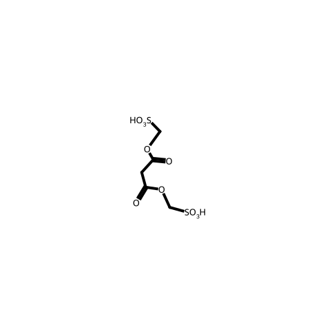 O=C(CC(=O)OCS(=O)(=O)O)OCS(=O)(=O)O